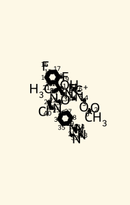 CC(=O)OCN1[C+]=NN(C[C@@](O)(c2ccc(F)cc2F)[C@@H](C)N2CCN(c3ccc(-n4cnnn4)cc3)C2=O)C1.[Cl-]